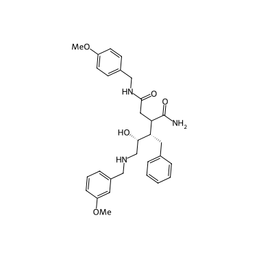 COc1ccc(CNC(=O)CC(C(N)=O)[C@H](Cc2ccccc2)[C@@H](O)CNCc2cccc(OC)c2)cc1